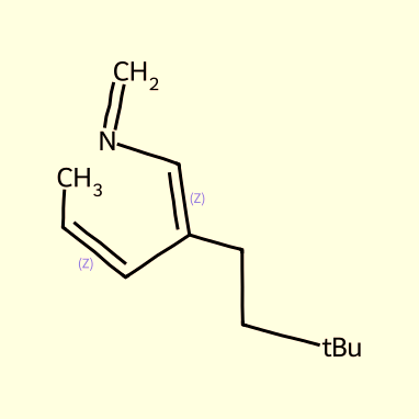 C=N/C=C(\C=C/C)CCC(C)(C)C